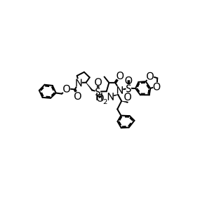 CC(CS(=O)(=O)C[C@@H]1CCCN1C(=O)OCc1ccccc1)C(=O)N([C@H](N)[C@@H](C)Cc1ccccc1)S(=O)(=O)c1ccc2c(c1)OCO2